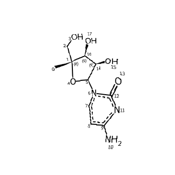 C[C@]1(CO)OC(n2ccc(N)nc2=O)[C@H](O)[C@@H]1O